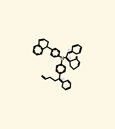 C=CCC/C(=C1/C=CC=CC1)c1ccc(N(C(/C=C2/C=CC=CC2)=C2\CCC=CC2=C)c2ccc(C3CC=Cc4ccccc43)cc2)cc1